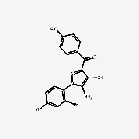 N#Cc1c(C(=O)c2ccc(C(F)(F)F)cc2)nn(-c2ccc(Cl)cc2Br)c1N